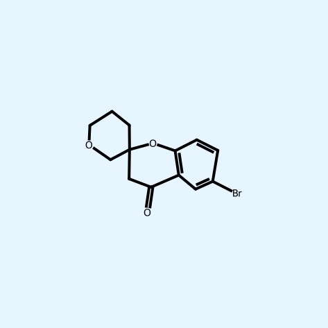 O=C1CC2(CCCOC2)Oc2ccc(Br)cc21